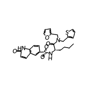 CCCC[C@@H](NS(=O)(=O)c1ccc2[nH]c(=O)ccc2c1)C(=O)N(Cc1ccco1)Cc1cccs1